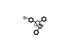 O=C(CC(c1ccccc1)n1ncc(-c2ccccc2)n1)c1ccc(Br)cc1